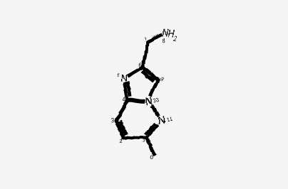 Cc1ccc2nc(CN)cn2n1